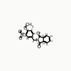 COc1ccc(CN2C(=O)c3ccccc3C2=O)cc1[N+](=O)[O-]